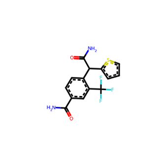 NC(=O)c1ccc(C(C(N)=O)c2cccs2)c(C(F)(F)F)c1